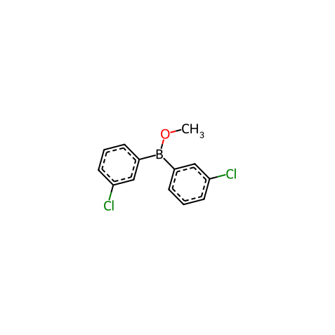 COB(c1cccc(Cl)c1)c1cccc(Cl)c1